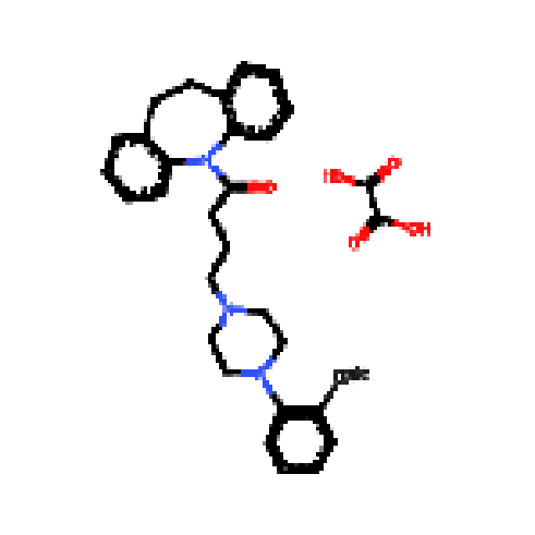 COc1ccccc1N1CCN(CCCC(=O)N2c3ccccc3CCc3ccccc32)CC1.O=C(O)C(=O)O